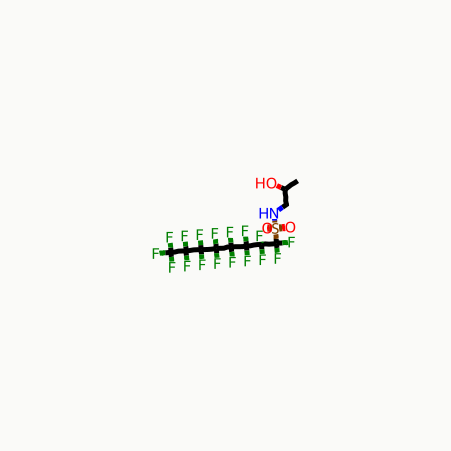 CC(O)CNS(=O)(=O)C(F)(F)C(F)(F)C(F)(F)C(F)(F)C(F)(F)C(F)(F)C(F)(F)C(F)(F)F